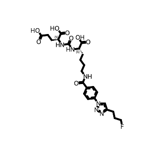 O=C(O)CC[C@H](NC(=O)N[C@@H](CCCCNC(=O)c1ccc(-n2cc(CCCF)nn2)cc1)C(=O)O)C(=O)O